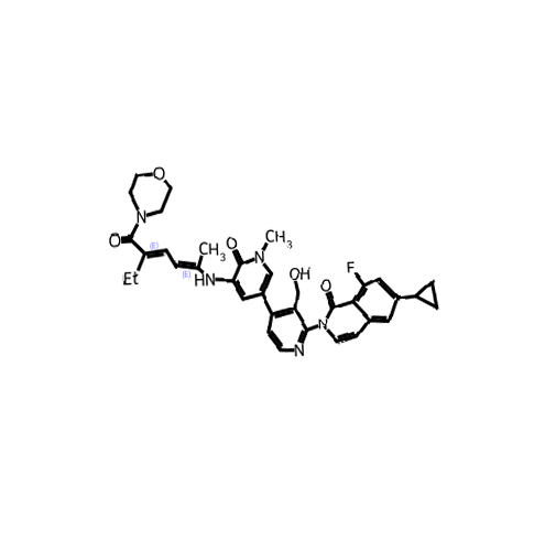 CC/C(=C\C=C(/C)Nc1cc(-c2ccnc(-n3ccc4cc(C5CC5)cc(F)c4c3=O)c2CO)cn(C)c1=O)C(=O)N1CCOCC1